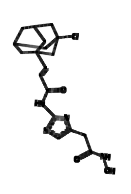 O=C(C=CC12CC3CC(CC(Cl)(C3)C1)C2)Nc1nc(CC(=O)NO)cs1